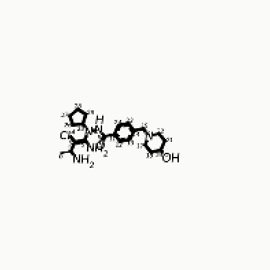 C[C@H](N)/C(Cl)=C(\N)N(NC(=O)c1ccc(CN2CCC(O)CC2)cc1)C1CCCC1